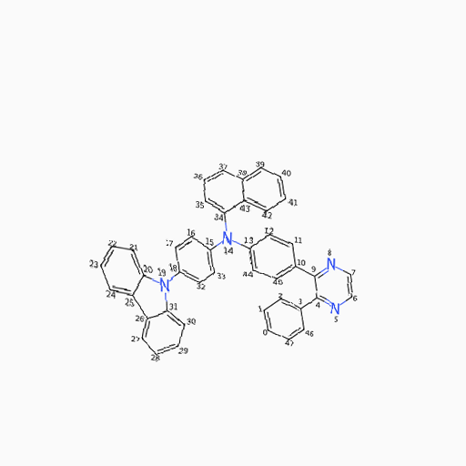 c1ccc(-c2nccnc2-c2ccc(N(c3ccc(-n4c5ccccc5c5ccccc54)cc3)c3cccc4ccccc34)cc2)cc1